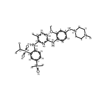 COc1cc(SN2CCN(C)CC2)ccc1Nc1nnc(C)c(Nc2ccc(P(C)(C)=O)cc2S(=O)(=O)C(C)C)n1